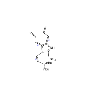 C=C/C=c1/c(/C=C\C(CCCC)CCCC)c(C=C)[nH]/c1=C/C=C